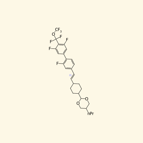 CCCC1COC(C2CCC(/C=C/c3ccc(-c4cc(F)c(C(F)(F)OC(F)(F)F)c(F)c4)c(F)c3)CC2)OC1